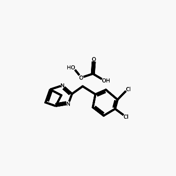 Clc1ccc(Cc2nc3cc(n2)C3)cc1Cl.O=C(O)OO